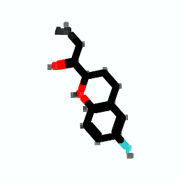 CC(=O)OCC(=O)C1CCc2cc(F)ccc2O1